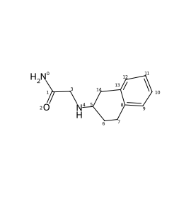 NC(=O)CNC1CCc2ccccc2C1